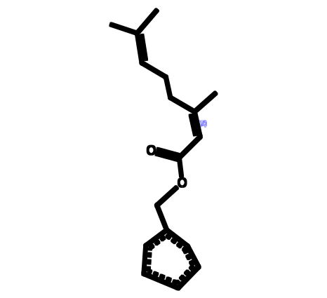 CC(C)=CCC/C(C)=C\C(=O)OCc1ccccc1